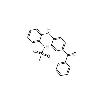 CS(=O)(=O)Nc1ccccc1Nc1ccc(C(=O)c2ccccc2)cc1